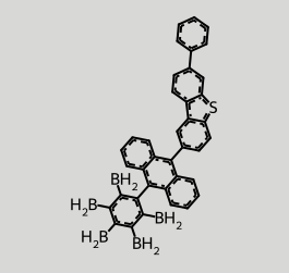 Bc1c(B)c(B)c(-c2c3ccccc3c(-c3ccc4sc5cc(-c6ccccc6)ccc5c4c3)c3ccccc23)c(B)c1B